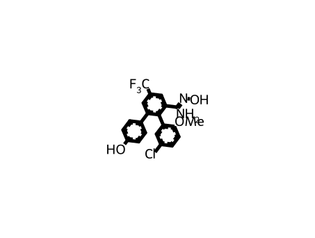 COc1ccc(Cl)cc1-c1c(/C(N)=N/O)cc(C(F)(F)F)cc1-c1ccc(O)cc1